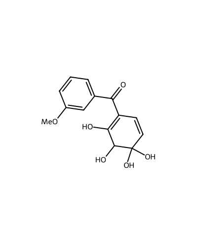 COc1cccc(C(=O)C2=C(O)C(O)C(O)(O)C=C2)c1